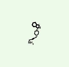 NCC#CCN1CCN(c2nsc3ccccc23)CC1